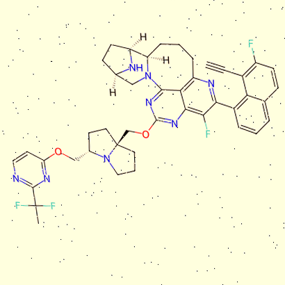 C#Cc1c(F)ccc2cccc(-c3nc4c5c(nc(OC[C@@]67CCCN6[C@H](COc6ccnc(C(C)(F)F)n6)CC7)nc5c3F)N3C[C@H]5CC[C@H](N5)[C@H]3CCC4)c12